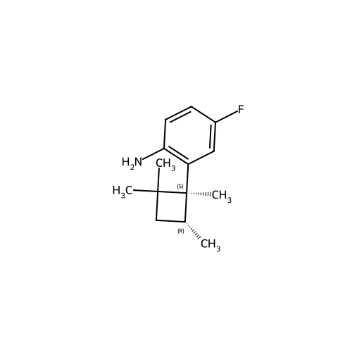 C[C@@H]1CC(C)(C)[C@@]1(C)c1cc(F)ccc1N